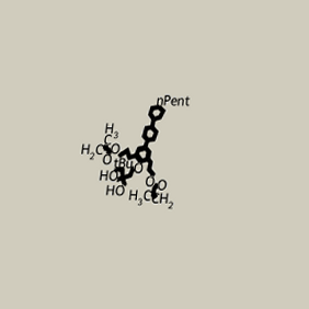 C=C(C)C(=O)OCCCc1cc(C2CCC(C3CCC(CCCCC)CC3)CC2)cc(CCCOC(=O)C(=C)C)c1OCCC(CO)(CO)CCC(C)(C)C